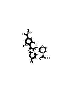 CNC(=O)c1cc(F)c(-c2nc3cc(Cl)ccn3c2C[C@H]2CN(C(=O)O)CCO2)c(F)c1